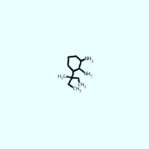 CCC(C)(CC)C1CCCC(N)C1N